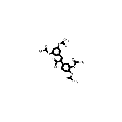 CC(=O)Oc1cc(C=C(C(=O)O)c2ccc(OC(C)=O)c(OC(C)=O)c2)cc(OC(C)=O)c1